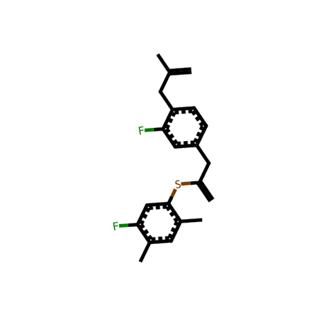 C=C(C)Cc1ccc(CC(=C)Sc2cc(F)c(C)cc2C)cc1F